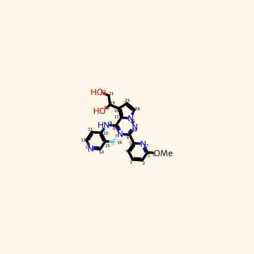 COc1cccc(-c2nc(Nc3ccncc3F)c3c(C(O)CO)ccn3n2)n1